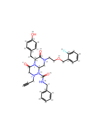 C#CCN1CC(=O)N2C(CN(CCOCc3ccccc3F)C(=O)[C@@H]2Cc2ccc(O)cc2)N1C(=O)NCc1ccccc1